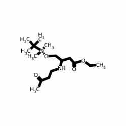 CCOC(=O)CC(CO[Si](C)(C)C(C)(C)C)NCCC(C)=O